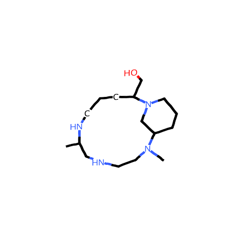 CC1CNCCN(C)C2CCCN(C2)C(CO)CCCN1